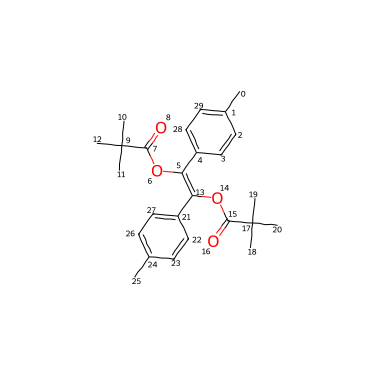 Cc1ccc(/C(OC(=O)C(C)(C)C)=C(\OC(=O)C(C)(C)C)c2ccc(C)cc2)cc1